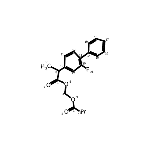 CC(C)C(=O)OCOC(=O)C(C)c1ccc(-c2ccccc2)c(F)c1